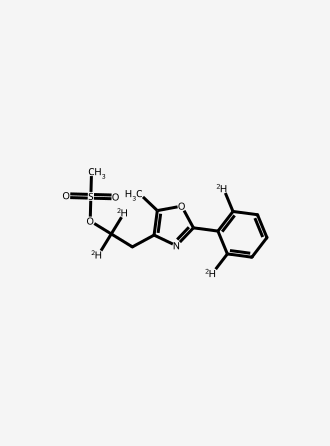 [2H]c1cccc([2H])c1-c1nc(CC([2H])([2H])OS(C)(=O)=O)c(C)o1